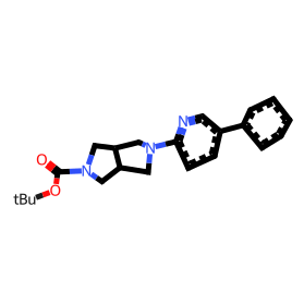 CC(C)(C)OC(=O)N1CC2CN(c3ccc(-c4ccccc4)cn3)CC2C1